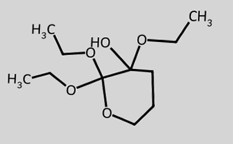 CCOC1(O)CCCOC1(OCC)OCC